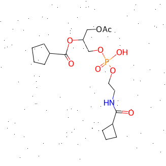 CC(=O)OCC(COP(=O)(O)OCCNC(=O)C1CCC1)OC(=O)C1CCCC1